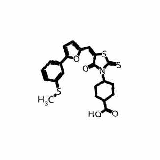 CSc1cccc(-c2ccc(C=C3SC(=S)N(C4CCC(C(=O)O)CC4)C3=O)o2)c1